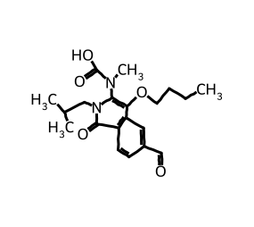 CCCCOc1c(N(C)C(=O)O)n(CC(C)C)c(=O)c2ccc(C=O)cc12